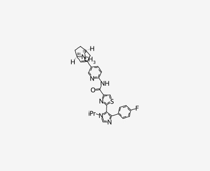 CC(C)n1cnc(-c2ccc(F)cc2)c1-c1nc(C(=O)Nc2ccc(C3=C[C@H]4CC[C@@H](C3)N4C)cn2)cs1